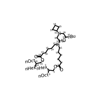 CCCCCCCCC(CCCCCC)COC(=O)CCCCCN(CCCCCC(=O)OCC(CCCCCC)CCCCCCCC)CCN(CC(O)CCCC)C1CCC1